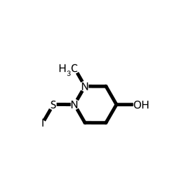 CN1CC(O)CCN1SI